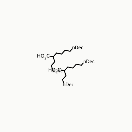 CCCCCCCCCCCCCCC(CCCCCCCCCCCC)C(=O)O.CCCCCCCCCCCCCCC(CCCCCCCCCCCC)C(=O)O